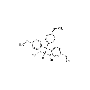 COc1ccc(C(c2ccc(OC)cc2)(c2ccc(OC)cc2)P(=O)(OC)OC)cc1